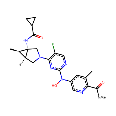 CNC(=O)c1ncc(N(O)c2ncc(F)c(N3C[C@H]4[C@@H](C)[C@@]4(NC(=O)C4CC4)C3)n2)cc1C